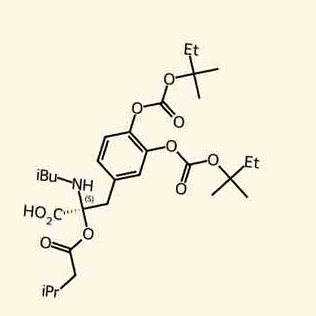 CCC(C)N[C@@](Cc1ccc(OC(=O)OC(C)(C)CC)c(OC(=O)OC(C)(C)CC)c1)(OC(=O)CC(C)C)C(=O)O